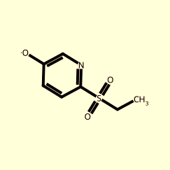 CCS(=O)(=O)c1ccc([O])cn1